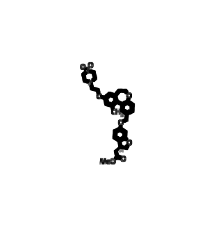 COC(=O)C[C@@H]1COc2cc(OCc3ccc4c(c3)-c3c(C)cc(OCCN5CCS(=O)(=O)CC5)cc3CCO4)ccc21